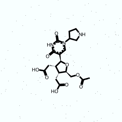 CC(=O)OC[C@@H]1O[C@H](c2cn(C3CCNC3)c(=O)[nH]c2=O)[C@@H](CC(=O)O)[C@H]1CC(=O)O